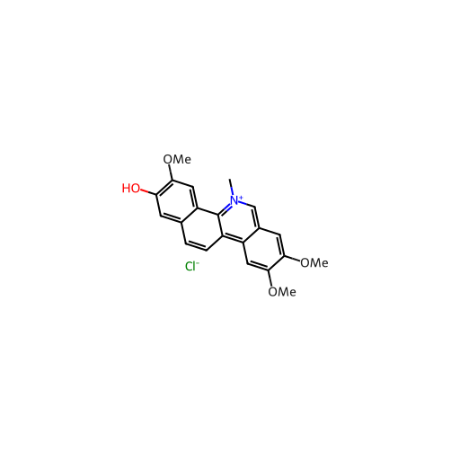 COc1cc2c(ccc3c4cc(OC)c(OC)cc4c[n+](C)c23)cc1O.[Cl-]